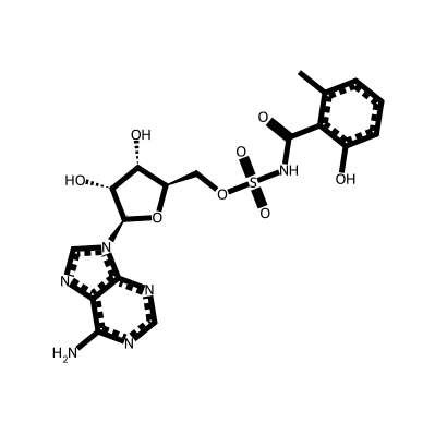 Cc1cccc(O)c1C(=O)NS(=O)(=O)OC[C@H]1O[C@@H](n2cnc3c(N)ncnc32)[C@H](O)[C@@H]1O